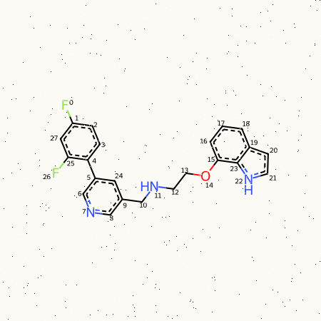 Fc1ccc(-c2cncc(CNCCOc3cccc4cc[nH]c34)c2)c(F)c1